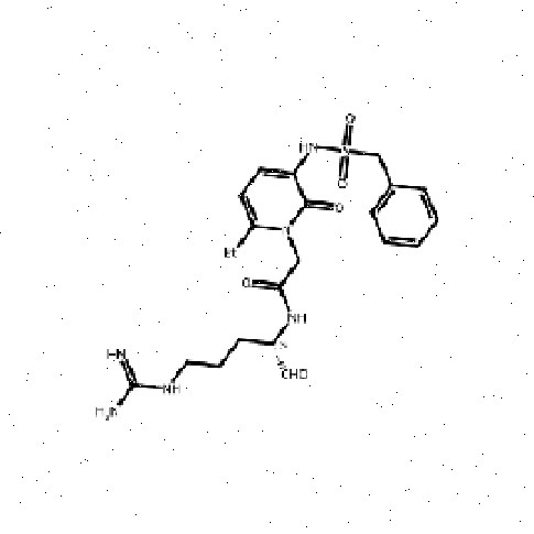 CCc1ccc(NS(=O)(=O)Cc2ccccc2)c(=O)n1CC(=O)N[C@H](C=O)CCCNC(=N)N